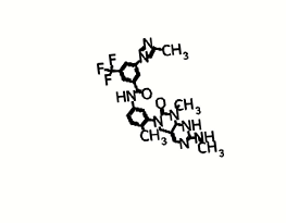 CNC1=NC=C2CN(c3cc(NC(=O)c4cc(-n5cnc(C)c5)cc(C(F)(F)F)c4)ccc3C)C(=O)N(C)C2N1